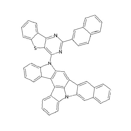 c1ccc2cc(-c3nc(-n4c5ccccc5c5c6c7ccccc7n7c8cc9ccccc9cc8c(cc54)c67)c4sc5ccccc5c4n3)ccc2c1